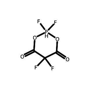 O=C1O[PH](F)(F)OC(=O)C1(F)F